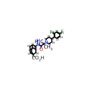 CC(C)(C(=O)NC1C2CC3CC1CC(C(=O)O)(C3)C2)N1CCC(c2ccc(F)cc2F)CC1